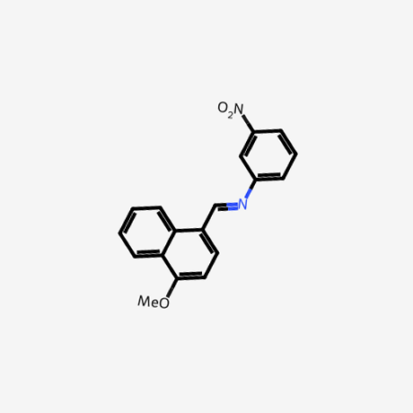 COc1ccc(/C=N/c2cccc([N+](=O)[O-])c2)c2ccccc12